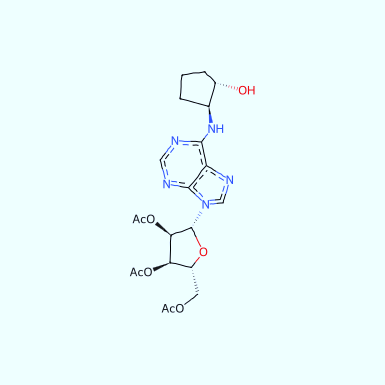 CC(=O)OC[C@H]1O[C@@H](n2cnc3c(N[C@H]4CCC[C@@H]4O)ncnc32)[C@H](OC(C)=O)[C@@H]1OC(C)=O